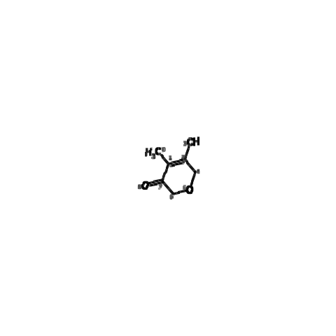 CC1=C(O)COCC1=O